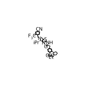 CCS(=O)(=O)c1ccc(CC(=O)Nc2nc3c(s2)CN(Cc2ccc(C#N)cc2C(F)(F)F)[C@H]3C(C)C)cc1C1CCCC1